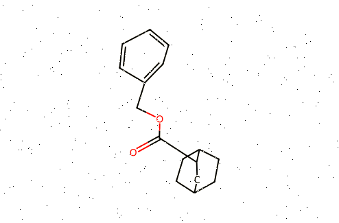 O=C(OCc1ccccc1)C1CC2CCC1CC2